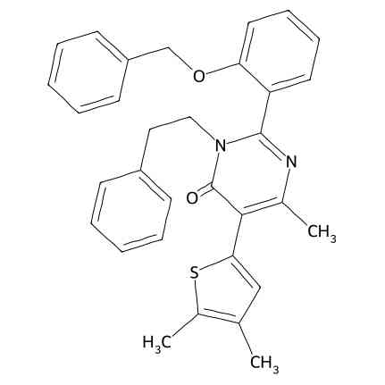 Cc1cc(-c2c(C)nc(-c3ccccc3OCc3ccccc3)n(CCc3ccccc3)c2=O)sc1C